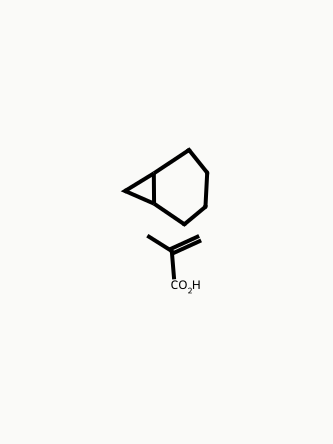 C1CCC2CC2C1.C=C(C)C(=O)O